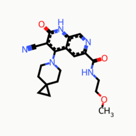 COCCNC(=O)c1cc2c(N3CCC4(CC3)CC4)c(C#N)c(=O)[nH]c2cn1